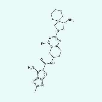 Cc1nc2sc(C(=O)NC3CCc4nc(N5CC(N)C6(CCCOC6)C5)cc(F)c4C3)c(N)c2s1